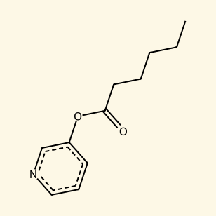 CCCCCC(=O)Oc1cccnc1